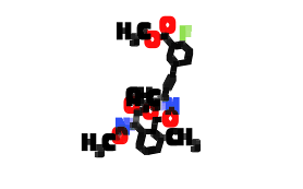 CO/N=C(/C(=O)OC)c1cccc(C)c1CO/N=C(\C)C#Cc1ccc(F)c(C(=O)OC)c1